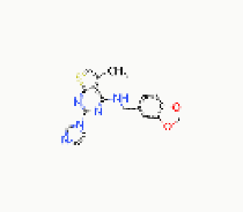 Cc1csc2nc(-n3ccnc3)nc(NCc3ccc4c(c3)OCO4)c12